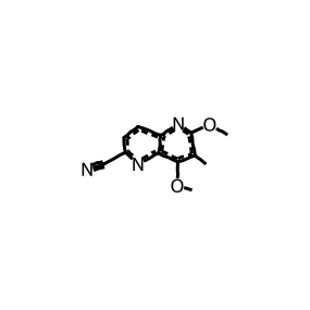 COc1nc2ccc(C#N)nc2c(OC)c1C